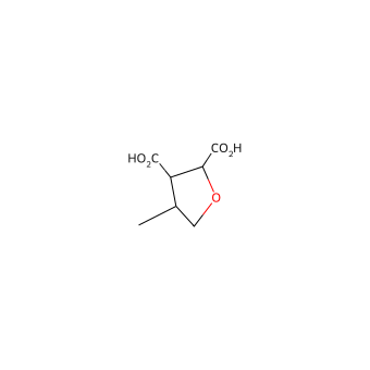 CC1COC(C(=O)O)C1C(=O)O